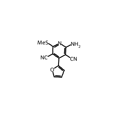 CSc1nc(N)c(C#N)c(-c2ccco2)c1C#N